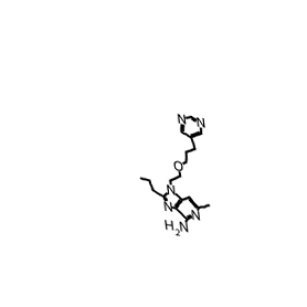 CCCc1nc2c(N)nc(C)cc2n1CCOCCCc1cncnc1